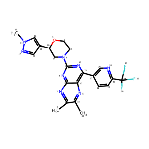 Cc1nc2nc(N3CCO[C@H](c4cnn(C)c4)C3)nc(-c3ccc(C(F)(F)F)nc3)c2nc1C